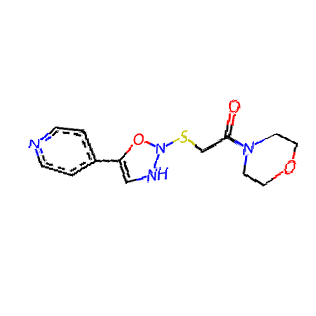 O=C(CSN1NC=C(c2ccncc2)O1)N1CCOCC1